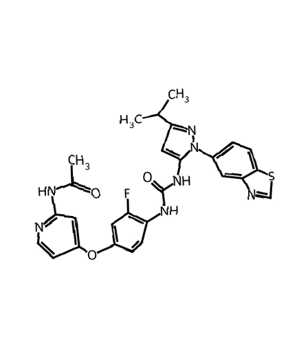 CC(=O)Nc1cc(Oc2ccc(NC(=O)Nc3cc(C(C)C)nn3-c3ccc4scnc4c3)c(F)c2)ccn1